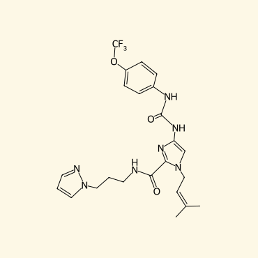 CC(C)=CCn1cc(NC(=O)Nc2ccc(OC(F)(F)F)cc2)nc1C(=O)NCCCn1cccn1